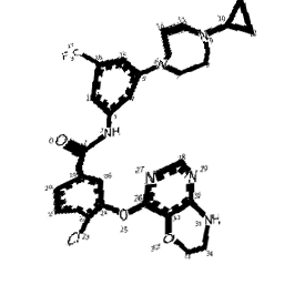 O=C(Nc1cc(N2CCN(C3CC3)CC2)cc(C(F)(F)F)c1)c1ccc(Cl)c(Oc2ncnc3c2OCCN3)c1